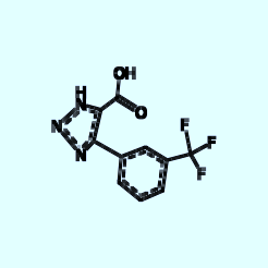 O=C(O)c1[nH]nnc1-c1cccc(C(F)(F)F)c1